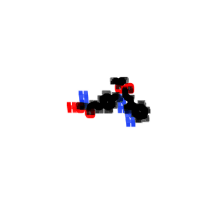 C=C(C)OC(=O)C(Cc1c[nH]c2ccccc12)NCc1ccc(/C=C/C(=O)NO)cc1